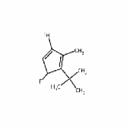 [2H]C1=CC(F)C(C(C)(C)C)=C1C